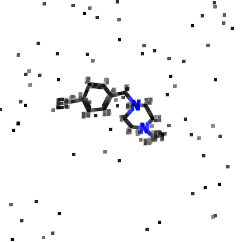 CCc1ccc(CN2CCN(C(C)C)CC2)cc1